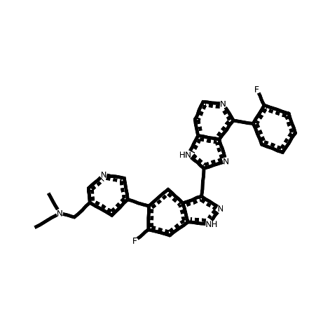 CN(C)Cc1cncc(-c2cc3c(-c4nc5c(-c6ccccc6F)nccc5[nH]4)n[nH]c3cc2F)c1